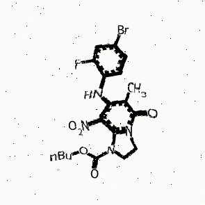 CCCCOC(=O)N1CCn2c1c([N+](=O)[O-])c(Nc1ccc(Br)cc1F)c(C)c2=O